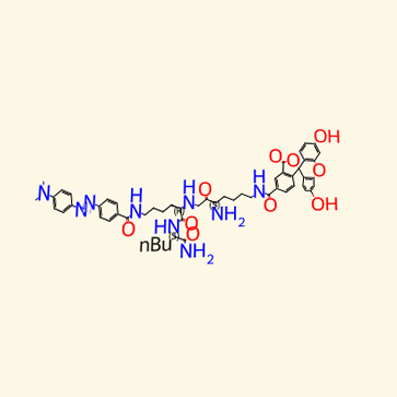 CCCC[C@H](NC(=O)[C@@H](CCCCNC(=O)c1ccc(/N=N/c2ccc(N(C)C)cc2)cc1)NCC(=O)[C@@H](N)CCCCNC(=O)c1ccc2c(c1)C(=O)OC21c2ccc(O)cc2Oc2cc(O)ccc21)C(N)=O